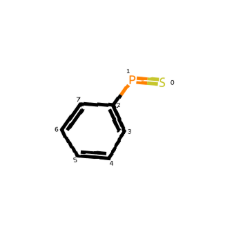 S=Pc1ccccc1